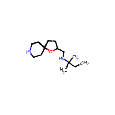 CCC(C)(C)NCC1CCC2(CCNCC2)O1